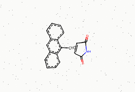 O=C1C=CC(=O)N1.O=Cc1c2ccccc2cc2ccccc12